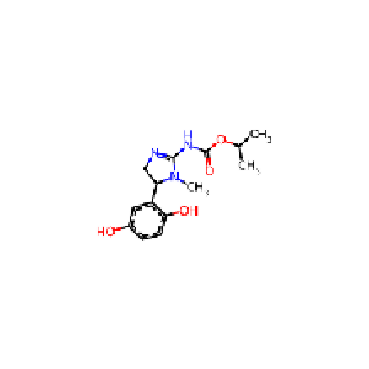 CC(C)OC(=O)NC1=NCC(c2cc(O)ccc2O)N1C